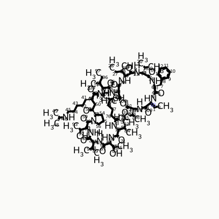 C/C=C1\NC(=O)[C@H](Cc2ccccc2)NC(=O)[C@@H](C(C)C)NC(=O)[C@@H]([C@@H](C)CC)NC(=O)[C@H](NC(=O)[C@H](NC(=O)[C@H](CCCCCNC(C)C)CC(=O)[C@H]2CCCN2C(=O)[C@H](NC(=O)[C@@H](NC(=O)[C@@H](NC(=O)[C@H](NC(=O)CCCC(C)C)C(C)C)[C@@H](C)O)C(C)C)C(C)C)[C@@H](C)CC)[C@H](C)OC(=O)[C@H](C(C)C)NC1=O